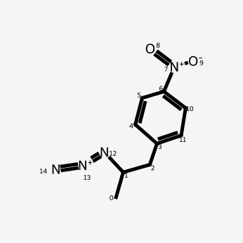 CC(Cc1ccc([N+](=O)[O-])cc1)N=[N+]=[N-]